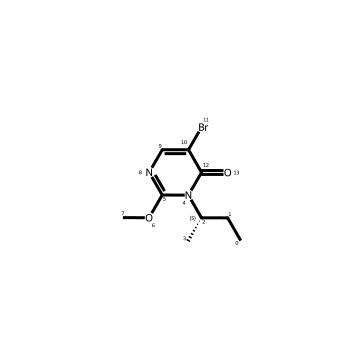 CC[C@H](C)n1c(OC)ncc(Br)c1=O